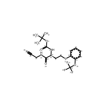 CC(C)(C)OC(=O)N[C@@H](CCSc1ccccc1OC(F)(F)F)C(=O)NCC#N